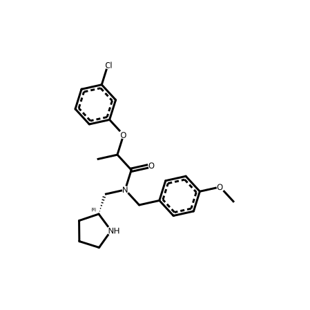 COc1ccc(CN(C[C@H]2CCCN2)C(=O)C(C)Oc2cccc(Cl)c2)cc1